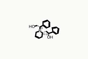 OC[C@H](c1ccccc1)N1CC=CC[C@H]1C[C@H](O)c1ccccc1